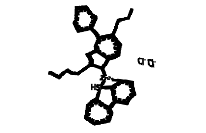 CCCCC1=Cc2c(ccc(CCC)c2-c2ccccc2)[CH]1[Zr+2]1[c]2cccc3c2[SiH]1c1ccccc1-3.[Cl-].[Cl-]